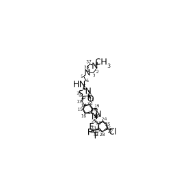 CN1CCN(CCNC2=NC(=O)C(=Cc3ccc4c(cnn4Cc4ccc(Cl)cc4C(F)(F)F)c3)S2)CC1